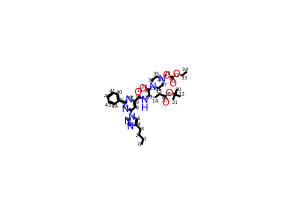 CCCCc1cn(-c2cc(C(=O)N[C@@H](CCC(=O)OC(C)(C)C)C(=O)N3CCN(OC(=O)OCC)CC3)nc(-c3ccccc3)n2)nn1